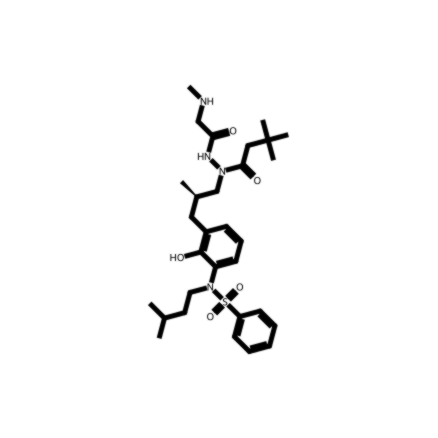 CNCC(=O)NN(C[C@H](C)Cc1cccc(N(CCC(C)C)S(=O)(=O)c2ccccc2)c1O)C(=O)CC(C)(C)C